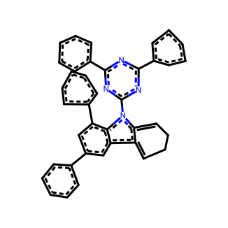 C1=c2c(n(-c3nc(-c4ccccc4)nc(-c4ccccc4)n3)c3c(-c4ccccc4)cc(-c4ccccc4)cc23)=CCC1